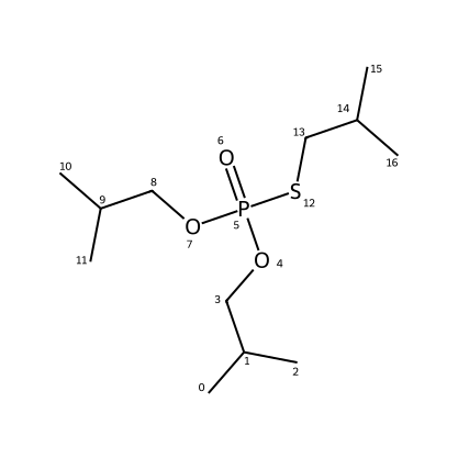 CC(C)COP(=O)(OCC(C)C)SCC(C)C